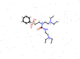 CCN(CC)CCNC(=O)N(CCN(CC)CC)CCS(=O)(=O)c1ccccc1